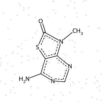 Cn1c(=O)sc2c(N)ncnc21